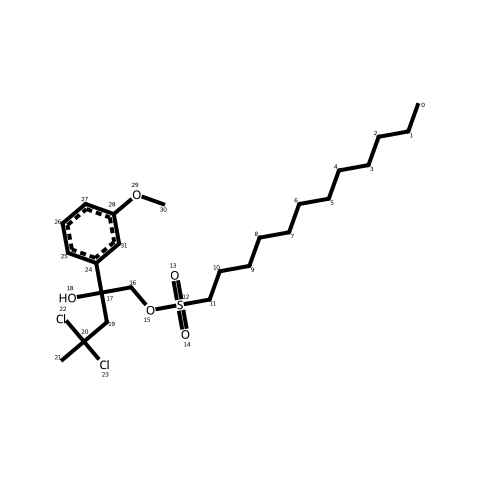 CCCCCCCCCCCCS(=O)(=O)OCC(O)(CC(C)(Cl)Cl)c1cccc(OC)c1